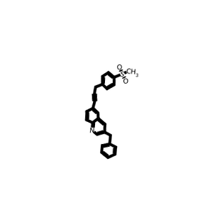 CS(=O)(=O)c1ccc(CC#Cc2ccc3ncc(Cc4ccccc4)cc3c2)cc1